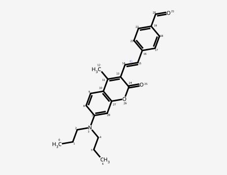 CCCN(CCC)c1ccc2c(C)c(/C=C/c3ccc(C=O)cc3)c(=O)oc2c1